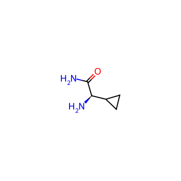 NC(=O)[C@H](N)C1CC1